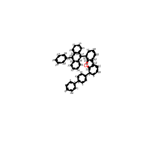 c1ccc(-c2ccc(-c3cccc4c3oc3c(-c5c6ccccc6c(-c6ccccc6)c6ccccc56)cccc34)cc2)cc1